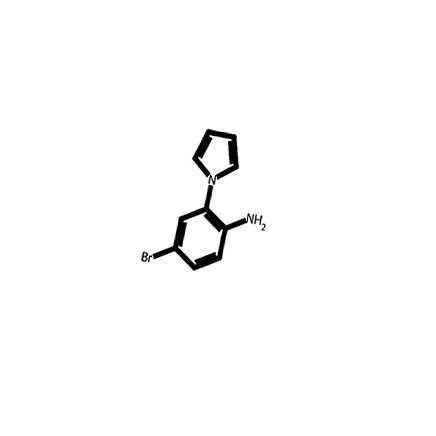 Nc1ccc(Br)cc1-n1cccc1